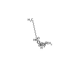 CCCCCCCCCCCCCCCC(=O)Nc1ccc(S(=O)(=O)Nc2nc(OC)cs2)cc1